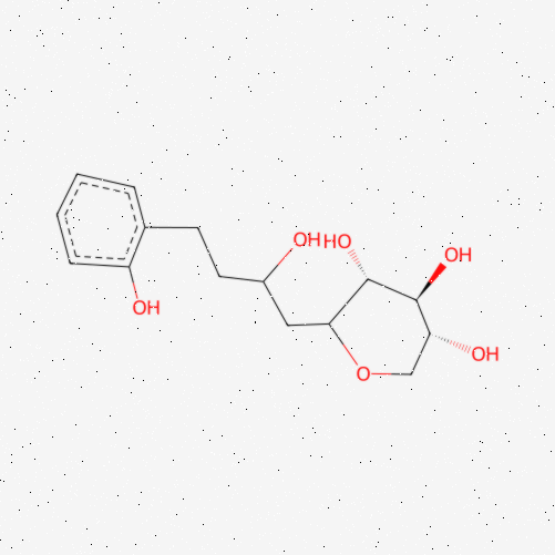 Oc1ccccc1CCC(O)CC1OC[C@@H](O)[C@H](O)[C@H]1O